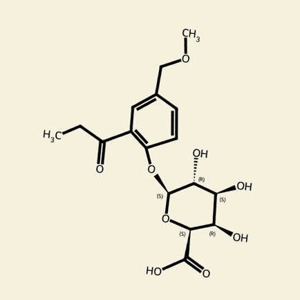 CCC(=O)c1cc(COC)ccc1O[C@@H]1O[C@H](C(=O)O)[C@H](O)[C@H](O)[C@H]1O